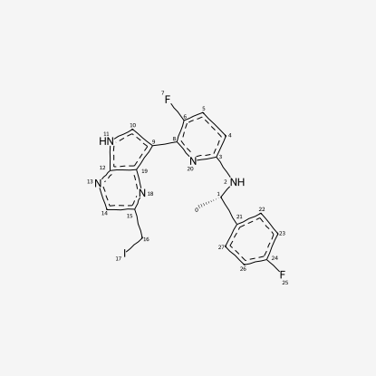 C[C@H](Nc1ccc(F)c(-c2c[nH]c3ncc(CI)nc23)n1)c1ccc(F)cc1